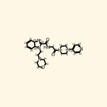 O=C(NCC(=O)N1CCN(c2ccncc2)CC1)C1=NC2C=CC=CC2N1CCN1CCOCC1